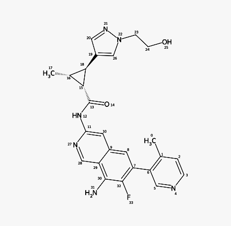 Cc1ccncc1-c1cc2cc(NC(=O)[C@@H]3[C@H](C)[C@H]3c3cnn(CCO)c3)ncc2c(N)c1F